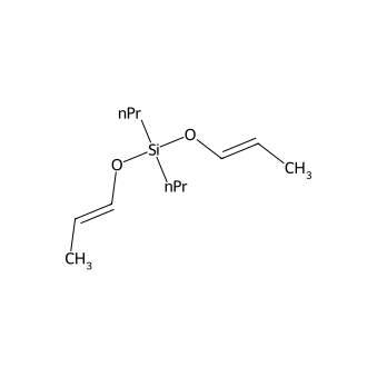 CC=CO[Si](CCC)(CCC)OC=CC